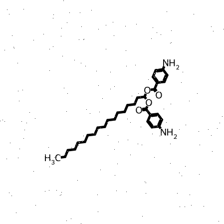 CCCCCCCCCCCCCCCCCC(OC(=O)c1ccc(N)cc1)OC(=O)c1ccc(N)cc1